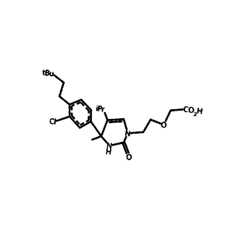 CC(C)C1=CN(CCOCC(=O)O)C(=O)NC1(C)c1ccc(CCC(C)(C)C)c(Cl)c1